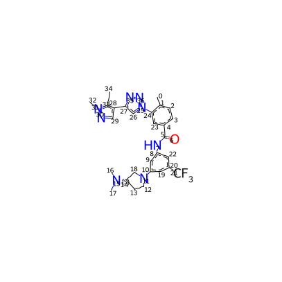 Cc1ccc(C(=O)Nc2cc(N3CC[C@H](N(C)C)C3)cc(C(F)(F)F)c2)cc1-n1cc(-c2cnn(C)c2C)nn1